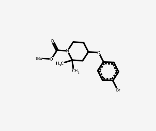 CC(C)(C)OC(=O)N1CCC(Oc2ccc(Br)cc2)CC1(C)C